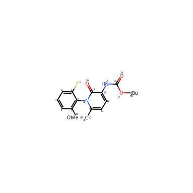 COc1cccc(F)c1-n1c(C(F)(F)F)ccc(NC(=O)OC(C)(C)C)c1=O